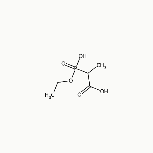 CCOP(=O)(O)C(C)C(=O)O